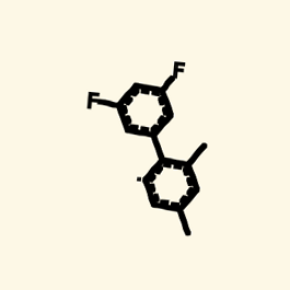 Cc1c[c]c(-c2cc(F)cc(F)c2)c(C)c1